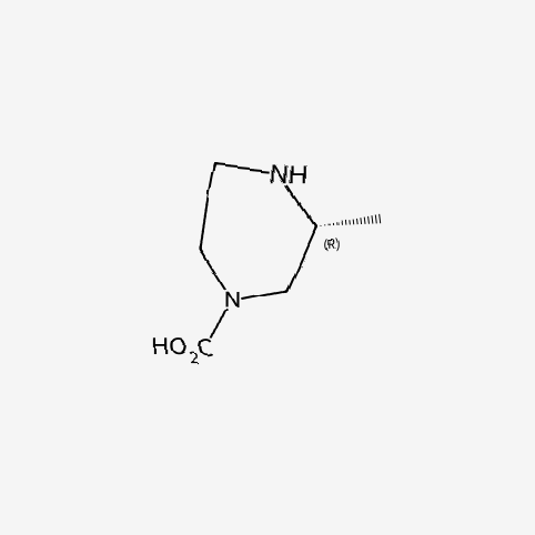 C[C@@H]1CN(C(=O)O)CCN1